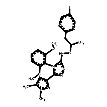 COc1cccc(OC)c1-n1c(NSC(C)Cc2ncc(F)cn2)nnc1-c1cc(C)n(C)n1